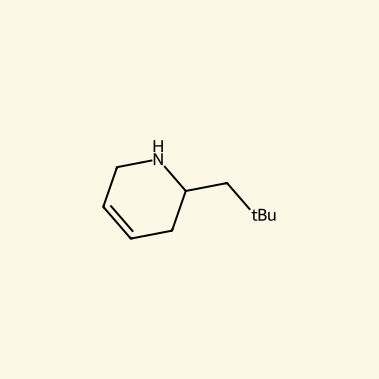 CC(C)(C)CC1CC=CCN1